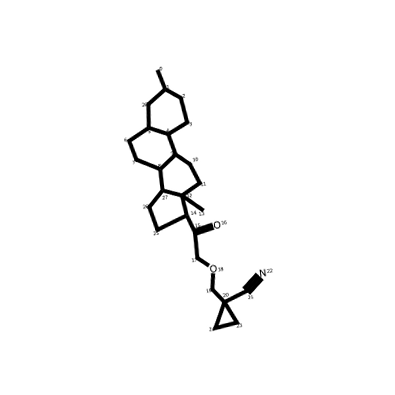 CC1CCC2C(CCC3C2CCC2(C)C(C(=O)COCC4(C#N)CC4)CCC32)C1